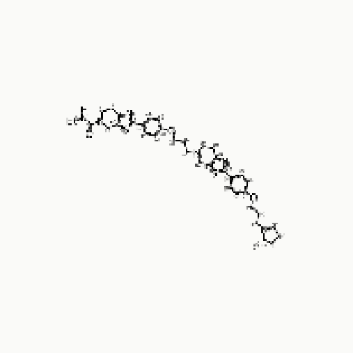 CCNC(=O)N1CCc2nc(-c3ccc(OCCCN4CCc5nc(-c6ccc(OCCCN7CCC[C@@H]7C)cc6)sc5C4)cc3)sc2C1